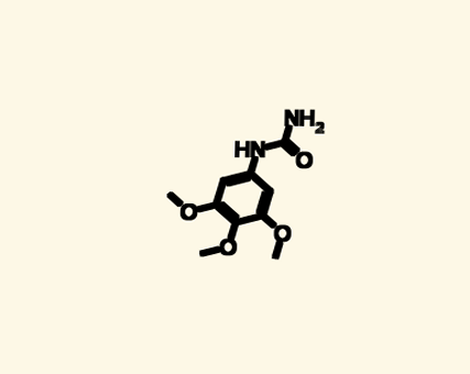 COc1cc(NC(N)=O)cc(OC)c1OC